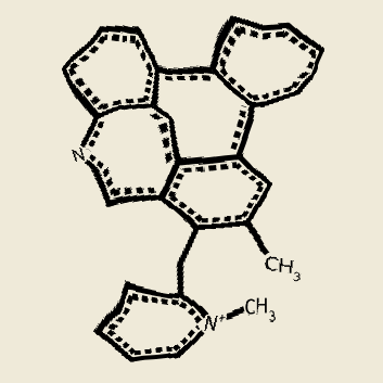 Cc1cc2c3ccccc3c3cccc4ncc(c1-c1cccc[n+]1C)c2c43